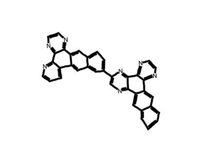 c1ccc2cc3c(cc2c1)c1nccnc1c1nc(-c2ccc4cc5c(cc4c2)c2cccnc2c2nccnc52)cnc31